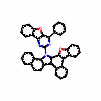 c1ccc(-c2nc(-n3c4c5ccccc5ccc4c4c5ccccc5c5c6ccccc6oc5c43)nc3c2oc2ccccc23)cc1